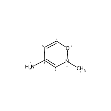 CN1C=C(N)C=CO1